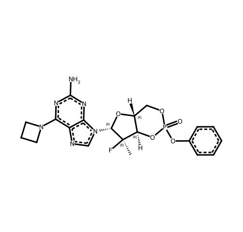 C[C@@]1(F)[C@@H]2OP(=O)(Oc3ccccc3)OC[C@H]2O[C@H]1n1cnc2c(N3CCC3)nc(N)nc21